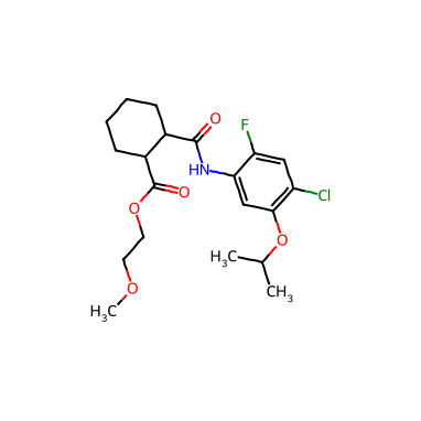 COCCOC(=O)C1CCCCC1C(=O)Nc1cc(OC(C)C)c(Cl)cc1F